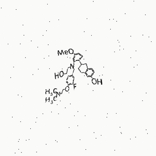 COc1ccc(C2CCc3cc(O)ccc3C2)c(N(CCO)Cc2ccc(OCCN(C)C)c(F)c2)c1